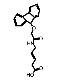 O=C(O)C/C=C/CNC(=O)COC1c2ccccc2-c2ccccc21